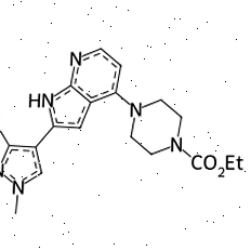 CCOC(=O)N1CCN(c2ccnc3[nH]c(-c4cn(C)nc4F)cc23)CC1